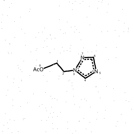 CC(=O)OCCn1cncn1